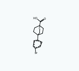 O=C(O)C12CCC(c3ccc(Br)cc3)(CC1)CC2